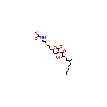 CCCCC/C(C)=C/C=C(\C)C(=O)c1c(O)cc(CCC/C=C/NC(=O)OC)oc1=O